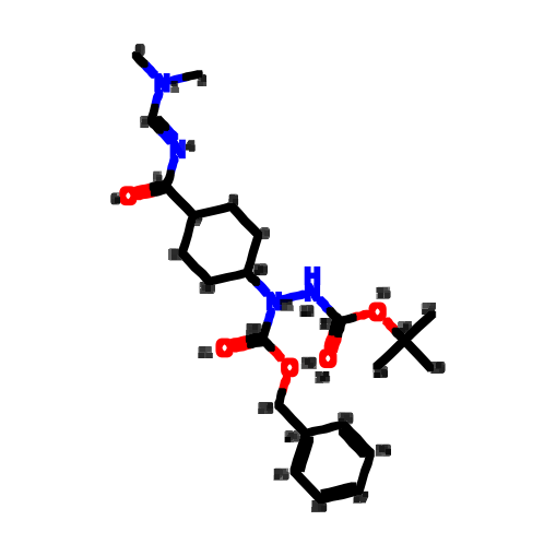 CN(C)C=NC(=O)C1CCC(N(NC(=O)OC(C)(C)C)C(=O)OCc2ccccc2)CC1